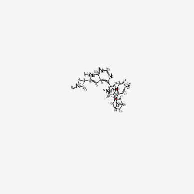 CN1CC(c2cc3c(-c4ccc(N5CC6CC(C5)N6Cc5cc(F)ccc5O)nc4)ncnc3[nH]2)C1